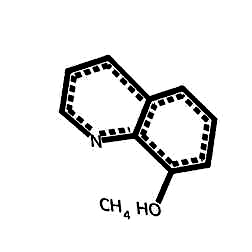 C.Oc1cccc2cccnc12